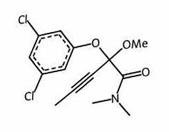 CC#CC(OC)(Oc1cc(Cl)cc(Cl)c1)C(=O)N(C)C